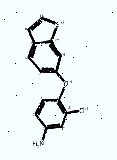 Nc1ccc(Oc2ccc3ccsc3c2)c(Cl)c1